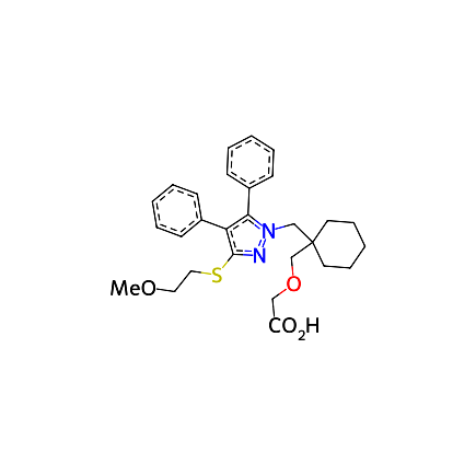 COCCSc1nn(CC2(COCC(=O)O)CCCCC2)c(-c2ccccc2)c1-c1ccccc1